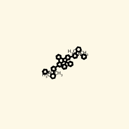 CC12CCCCC1(C)N(c1ccccc1)c1ccc(-c3ccc4c(c3)C(c3ccccc3)(c3ccccc3)c3c-4c4ccccc4c4cc(-c5ccc6c(c5)C5(C)CCCCC5(C)N6c5ccccc5)ccc34)cc12